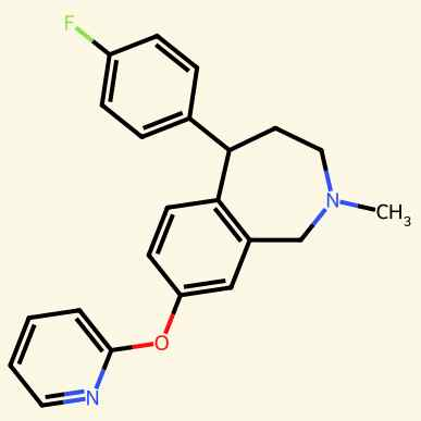 CN1CCC(c2ccc(F)cc2)c2ccc(Oc3ccccn3)cc2C1